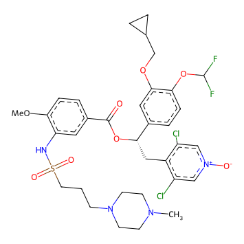 COc1ccc(C(=O)O[C@@H](Cc2c(Cl)c[n+]([O-])cc2Cl)c2ccc(OC(F)F)c(OCC3CC3)c2)cc1NS(=O)(=O)CCCN1CCN(C)CC1